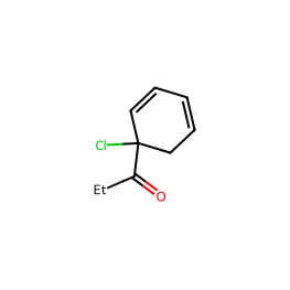 CCC(=O)C1(Cl)C=CC=CC1